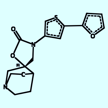 O=C1O[C@]2(CN3CCC2CC3)CN1c1csc(-c2ccco2)c1